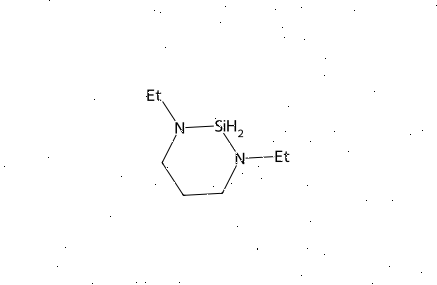 CCN1CCCN(CC)[SiH2]1